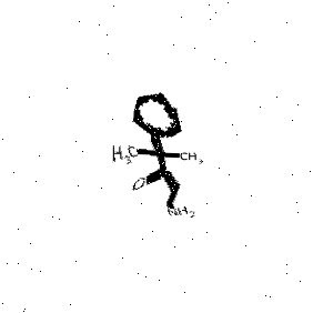 CC(C)(C(=O)CN)c1ccccc1